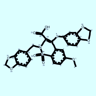 COc1ccc2c(c1)C(Sc1ccc3c(c1)OCO3)=C(C(=O)O)N(Cc1ccc3c(c1)OCO3)S2(=O)=O